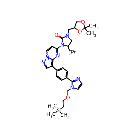 CC(C)C1CN(CC2COC(C)(C)O2)C(=O)N1c1ccn2ncc(-c3ccc(-c4nccn4COCC[Si](C)(C)C)cc3)c2n1